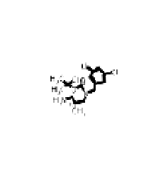 C[C@H](CN)CN(Cc1cc(Cl)cc(Cl)c1)C(=O)OC(C)(C)C